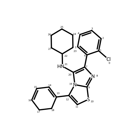 Clc1ccccc1-c1nc2scc(C3=CC=CCC3)n2c1NC1CCCCC1